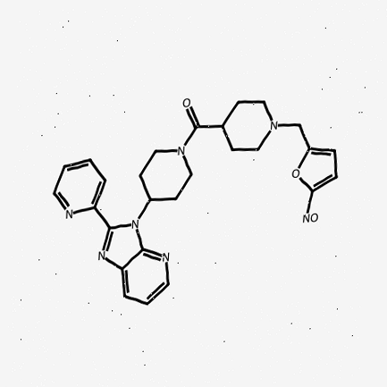 O=Nc1ccc(CN2CCC(C(=O)N3CCC(n4c(-c5ccccn5)nc5cccnc54)CC3)CC2)o1